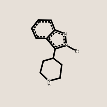 CCn1nc2ccccc2c1C1CCNCC1